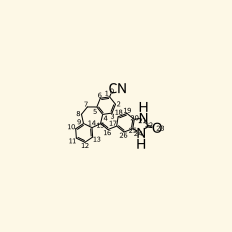 N#Cc1ccc2c(c1)CCc1ccccc1/C2=C/c1ccc2[nH]c(=O)[nH]c2c1